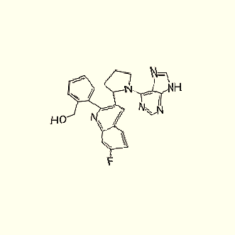 OCc1ccccc1-c1nc2cc(F)ccc2cc1C1CCCN1c1ncnc2[nH]cnc12